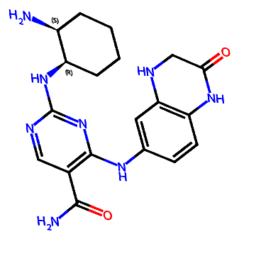 NC(=O)c1cnc(N[C@@H]2CCCC[C@@H]2N)nc1Nc1ccc2c(c1)NCC(=O)N2